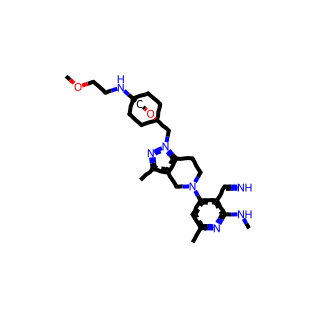 CNc1nc(C)cc(N2CCc3c(c(C)nn3CC34CCC(NCCOC)(CC3)CO4)C2)c1C=N